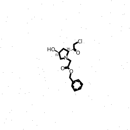 O=C(CN1C[C@@H](O)C[C@@H]1C(=O)CCl)OCc1ccccc1